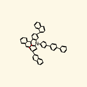 c1ccc(-c2ccc(-c3ccc(N(c4cccc(-c5ccc6ccccc6c5)c4)c4cc(-c5cccc6ccccc56)ccc4-c4cccc5ccccc45)cc3)cc2)cc1